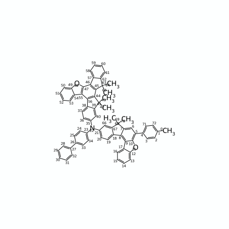 Cc1ccc(-c2cc3c(c4c2oc2ccccc24)-c2ccc(N(c4ccc(-c5ccccc5)cc4)c4ccc5c(c4)C(C)(C)c4c6c(c7oc8ccccc8c7c4-5)-c4ccccc4C6(C)C)cc2C3(C)C)cc1